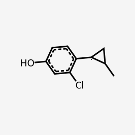 CC1C[C]1c1ccc(O)cc1Cl